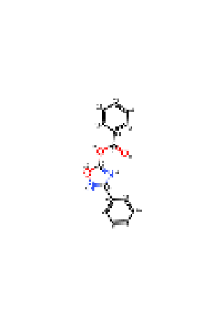 O=C(Oc1nc(-c2ccccc2)no1)c1ccccc1